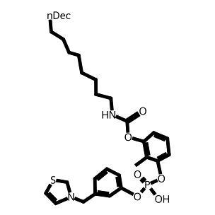 CCCCCCCCCCCCCCCCCCNC(=O)Oc1cccc(OP(=O)(O)Oc2cccc(CN3C=CSC3)c2)c1C